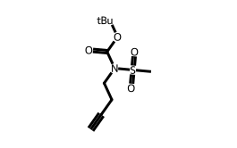 C#CCCN(C(=O)OC(C)(C)C)S(C)(=O)=O